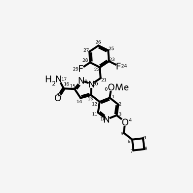 COc1cc(OCC2CCC2)ncc1-c1cc(C(N)=O)nn1Cc1c(F)cccc1F